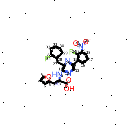 O=C(O)/C(=C/c1ccco1)Nc1ncc(-c2cccc([N+](=O)[O-])c2F)nc1Cc1ccccc1F